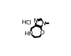 Cl.Cn1cnc2c1OCCNC2